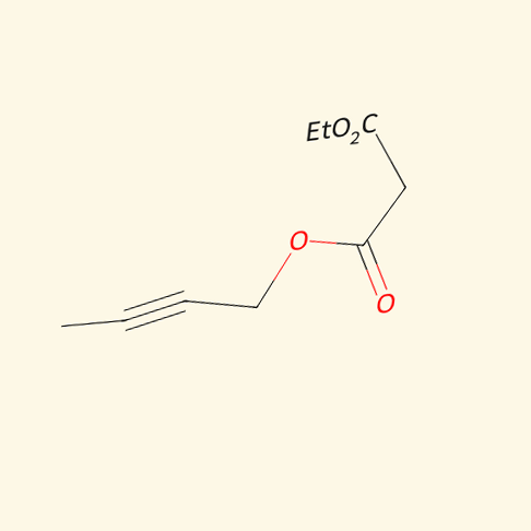 CC#CCOC(=O)CC(=O)OCC